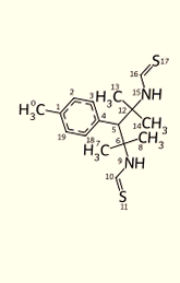 Cc1ccc(C(C(C)(C)NC=S)C(C)(C)NC=S)cc1